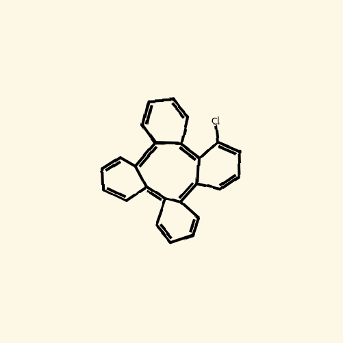 Clc1cccc2/c1=c1/cccc/c1=c1\cccc\c1=c1/cccc/c1=2